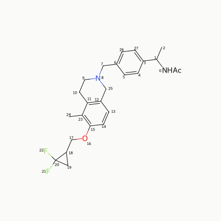 CC(=O)NC(C)c1ccc(CN2CCc3c(ccc(OCC4CC4(F)F)c3C)C2)cc1